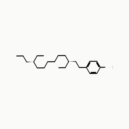 CCC[C@H]1CC[C@H]([C@H]2CC[C@H](CCc3ccc(O)cc3)CC2)CC1